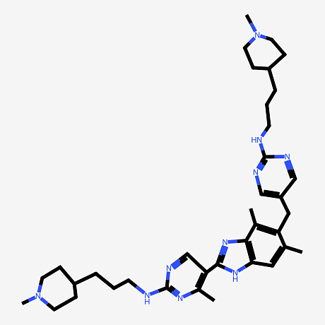 Cc1cc2[nH]c(-c3cnc(NCCCC4CCN(C)CC4)nc3C)nc2c(C)c1Cc1cnc(NCCCC2CCN(C)CC2)nc1